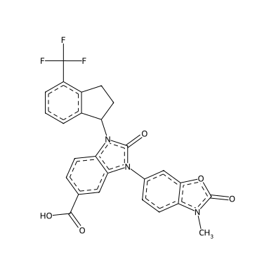 Cn1c(=O)oc2cc(-n3c(=O)n(C4CCc5c4cccc5C(F)(F)F)c4ccc(C(=O)O)cc43)ccc21